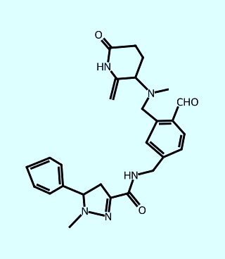 C=C1NC(=O)CCC1N(C)Cc1cc(CNC(=O)C2=NN(C)C(c3ccccc3)C2)ccc1C=O